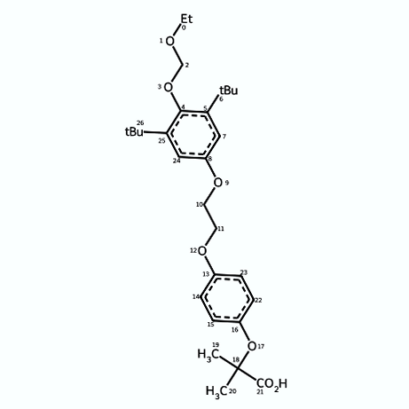 CCOCOc1c(C(C)(C)C)cc(OCCOc2ccc(OC(C)(C)C(=O)O)cc2)cc1C(C)(C)C